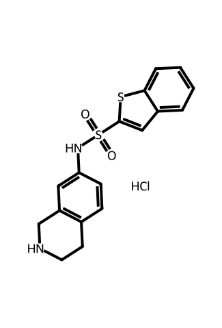 Cl.O=S(=O)(Nc1ccc2c(c1)CNCC2)c1cc2ccccc2s1